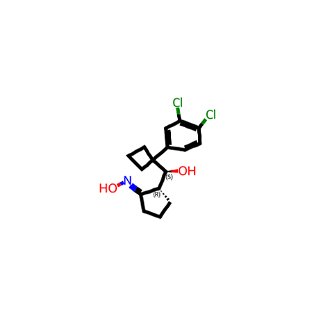 ON=C1CCC[C@H]1[C@H](O)C1(c2ccc(Cl)c(Cl)c2)CCC1